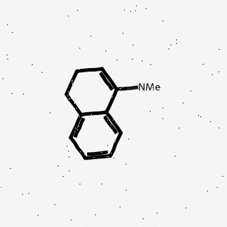 CNC1=CCCc2ccccc21